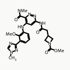 CNC(=O)c1nnc(NC(=O)CC2CN(C(=O)OC)C2)cc1Nc1cccc(-c2ncn(C)n2)c1OC